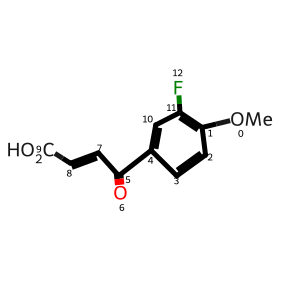 COc1ccc(C(=O)/C=C/C(=O)O)cc1F